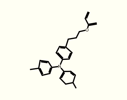 C=CC(=C)OCCCc1ccc(N(C2=CCC(C)C=C2)c2ccc(C)cc2)cc1